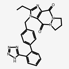 CCc1nc2c(=O)n3n(c(=O)c2n1Cc1ccc(-c2ccccc2-c2nnn[nH]2)cc1)CCC3